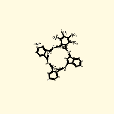 O=[N+]([O-])c1c([N+](=O)[O-])c([N+](=O)[O-])c2c3nc4nc(nc5[nH]c(nc6nc(nc([nH]3)c2c1[N+](=O)[O-])-c1ccccc1-6)c1ccccc51)-c1ccccc1-4.[Al+3]